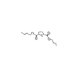 CCCCOC(=O)C1CCC(C(=O)OCCCC)S1